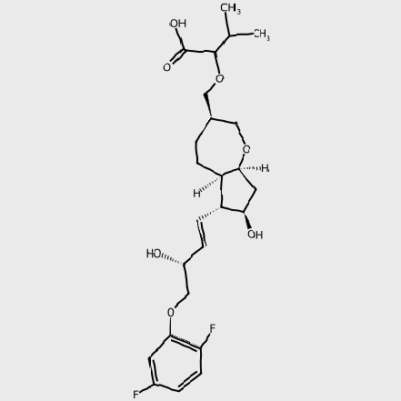 CC(C)C(OC[C@@H]1CC[C@@H]2[C@@H](/C=C/[C@@H](O)COc3cc(F)ccc3F)[C@H](O)C[C@@H]2OC1)C(=O)O